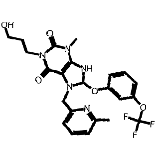 Cc1cccc(CN2c3c(n(C)c(=O)n(CCCO)c3=O)NC2Oc2cccc(OC(F)(F)F)c2)n1